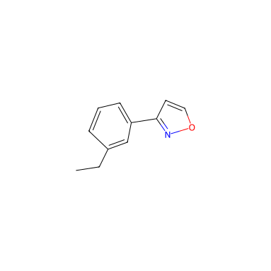 CCc1cccc(-c2ccon2)c1